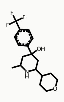 CC1CC(O)(c2ccc(C(F)(F)F)cc2)CC(C2CCOCC2)N1